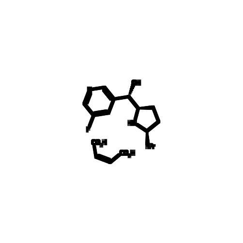 CCC[C@@H]1CC[C@H]([C@@H](O)c2cncc(F)c2)N1.O=C(O)/C=C\C(=O)O